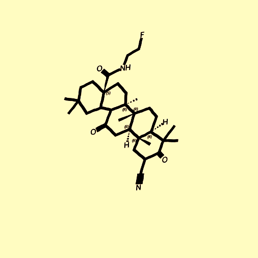 CC1(C)CC[C@]2(C(=O)NCCF)CC[C@]3(C)C(C(=O)C[C@@H]4[C@@]5(C)CC(C#N)C(=O)C(C)(C)[C@@H]5CC[C@]43C)C2C1